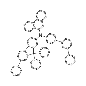 c1ccc(-c2cccc(-c3ccc(N(c4ccc5c(c4)C(c4ccccc4)(c4ccccc4)c4cc(-c6ccccc6)ccc4-5)c4cc5ccccc5c5ccccc45)cc3)c2)cc1